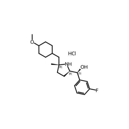 COC1CCC(C[C@@]2(C)CC[C@H]([C@@H](O)c3cccc(F)c3)N2)CC1.Cl